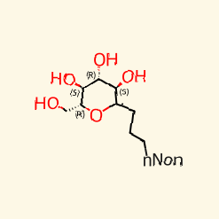 CCCCCCCCCCCC[C]1O[C@H](CO)[C@@H](O)[C@H](O)[C@H]1O